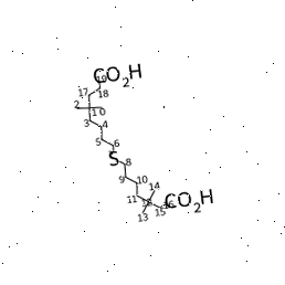 CC(C)(CCCCSCCCCC(C)(C)CC(=O)O)CCC(=O)O